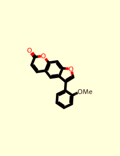 COc1ccccc1-c1coc2cc3oc(=O)ccc3cc12